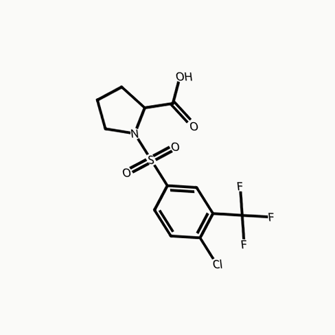 O=C(O)C1CCCN1S(=O)(=O)c1ccc(Cl)c(C(F)(F)F)c1